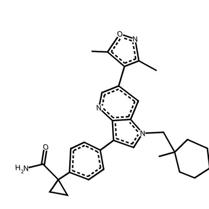 Cc1noc(C)c1-c1cnc2c(-c3ccc(C4(C(N)=O)CC4)cc3)cn(CC3(C)CCCCC3)c2c1